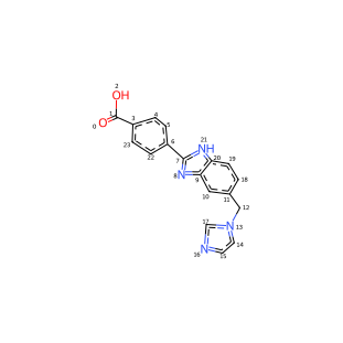 O=C(O)c1ccc(-c2nc3cc(Cn4ccnc4)ccc3[nH]2)cc1